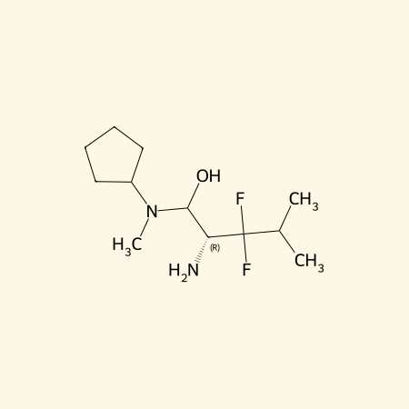 CC(C)C(F)(F)[C@H](N)C(O)N(C)C1CCCC1